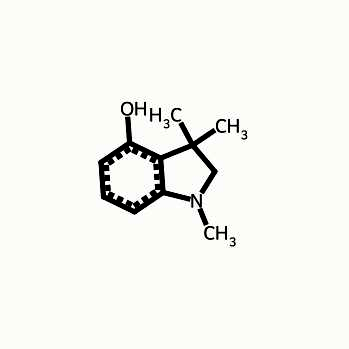 CN1CC(C)(C)c2c(O)cccc21